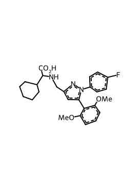 COc1cccc(OC)c1-c1cc(CNC(C(=O)O)C2CCCCC2)nn1-c1ccc(F)cc1